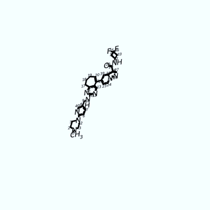 CN1CCN(c2ccc(CNc3ncc4c(n3)CCCC=C4c3ccn4ncc(C(=O)NC5CC(F)(F)C5)c4c3)cn2)CC1